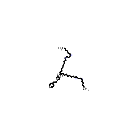 CCCCC/C=C\C/C=C\CCCCCCCCC1(CCCCCCC/C=C/C/C=C\CCCCC)OC2CN(CCc3ccncc3)CC2O1